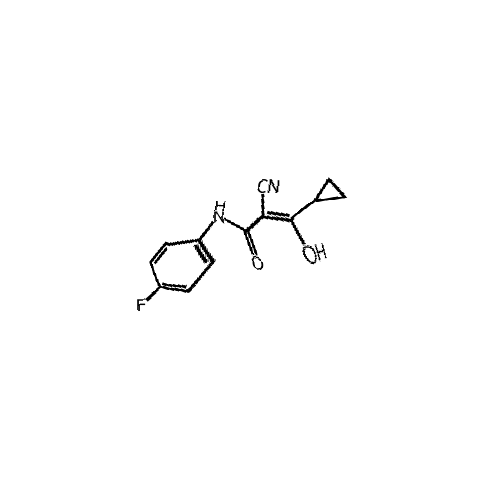 N#C/C(C(=O)Nc1ccc(F)cc1)=C(/O)C1CC1